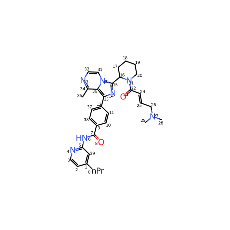 CCCc1ccnc(NC(=O)c2ccc(-c3nc(C4CCCCN4C(=O)C=CCN(C)C)n4ccnc(C)c34)cc2)c1